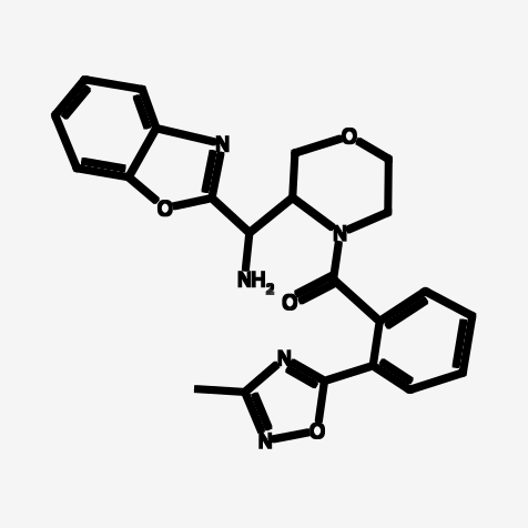 Cc1noc(-c2ccccc2C(=O)N2CCOCC2C(N)c2nc3ccccc3o2)n1